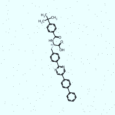 CC(C)(C)c1ccc(C(=O)N[C@@H](Cc2ccc(-c3ncc(-c4ccc(-c5ccccc5)cc4)cn3)cc2)C(=O)O)cc1